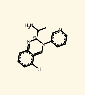 CC(N)[C@@H]1N=c2cccc(Cl)c2=CN1c1cccnc1